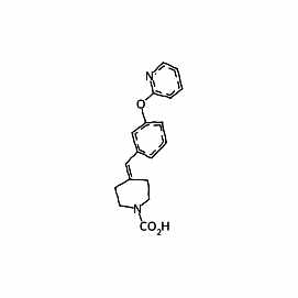 O=C(O)N1CCC(=Cc2cccc(Oc3ccccn3)c2)CC1